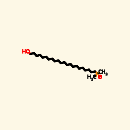 CP(C)(=O)CCCCCCCCCCCCCCCCCCCCCCO